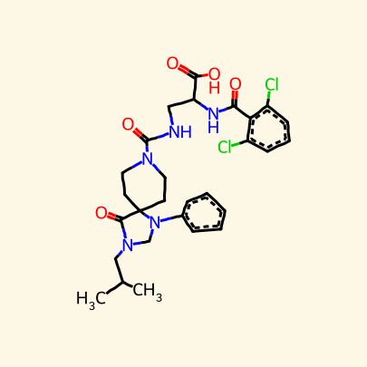 CC(C)CN1CN(c2ccccc2)C2(CCN(C(=O)NCC(NC(=O)c3c(Cl)cccc3Cl)C(=O)O)CC2)C1=O